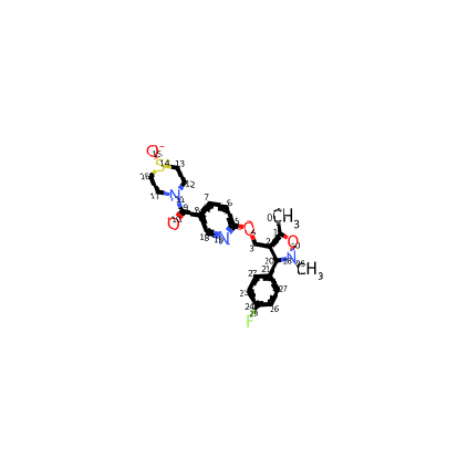 CC1=C(COc2ccc(C(=O)N3CC[S+]([O-])CC3)cn2)C(c2ccc(F)cc2)N(C)O1